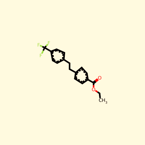 CCOC(=O)c1ccc(CCc2ccc(C(F)(F)F)cc2)cc1